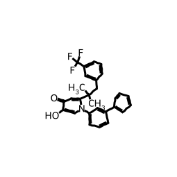 CC(C)(Cc1cccc(C(F)(F)F)c1)c1cc(=O)c(O)cn1-c1cccc(-c2ccccc2)c1